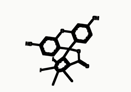 Cc1c(C)c2c(c(I)c1I)C1(OC2=O)c2ccc(O)cc2Oc2cc(O)ccc21